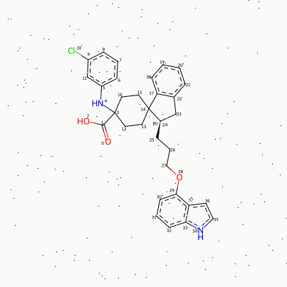 O=C(O)C1(Nc2cccc(Cl)c2)CCC2(CC1)c1ccccc1C[C@H]2CCCOc1cccc2[nH]ccc12